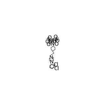 CS(=O)(=O)NC(=O)N(C(=O)NS(C)(=O)=O)C1CCC(CCN2CCN(c3cccc(Cl)c3Cl)CC2)CC1